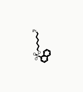 CC(C)CCCCCCOS(=O)(=O)c1cccc2ccccc12